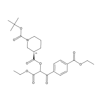 CCOC(=O)c1ccc(C(=O)C(OC(=O)[C@@H]2CCCN(C(=O)OC(C)(C)C)C2)C(=O)OCC)cc1